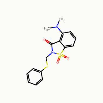 CN(C)c1cccc2c1C(=O)N(CSc1ccccc1)S2(=O)=O